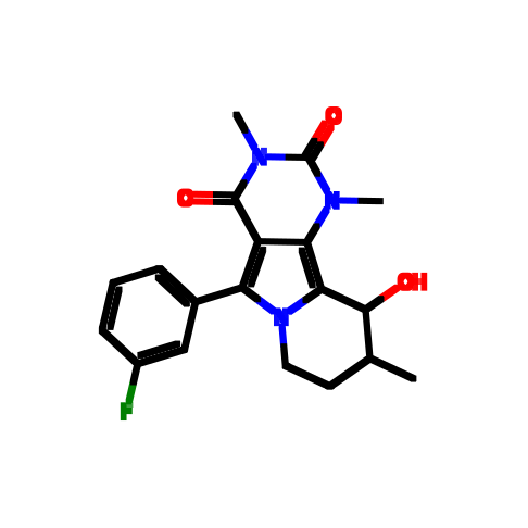 CC1CCn2c(-c3cccc(F)c3)c3c(=O)n(C)c(=O)n(C)c3c2C1O